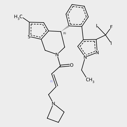 CCn1cc(-c2ccccc2[C@@H]2CN(C(=O)/C=C/CN3CCC3)Cc3sc(C)cc32)c(C(F)(I)I)n1